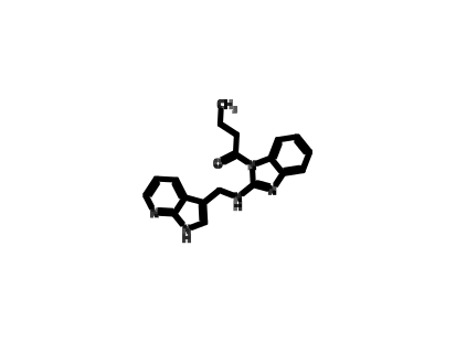 CCCC(=O)n1c(NCc2c[nH]c3ncccc23)nc2ccccc21